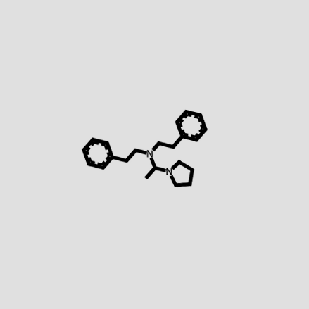 CC(N1CCCC1)N(CCc1ccccc1)CCc1ccccc1